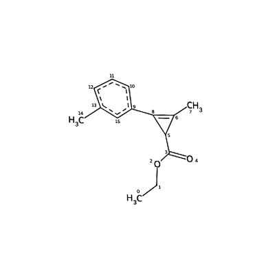 CCOC(=O)C1C(C)=C1c1cccc(C)c1